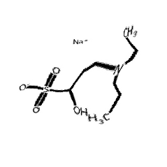 CCN(CC)CC(O)S(=O)(=O)[O-].[Na+]